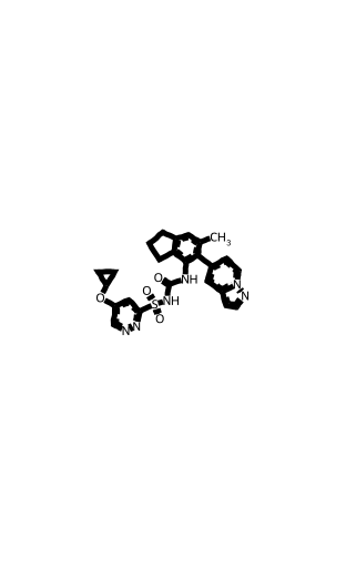 Cc1cc2c(c(NC(=O)NS(=O)(=O)c3cc(OC4CC4)cnn3)c1-c1ccn3nccc3c1)CCC2